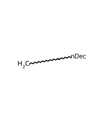 C=CCCCCCCCCCCCCCCC=CCCCCCCCCCCCCCCCC